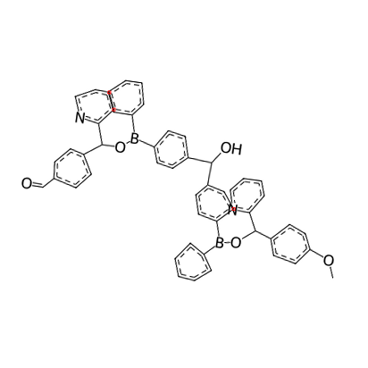 COc1ccc(C(OB(c2ccccc2)c2ccc(C(O)c3ccc(B(OC(c4ccc(C=O)cc4)c4ccccn4)c4ccccc4)cc3)cc2)c2ccccn2)cc1